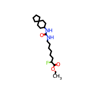 CCOC(=O)C(F)CCCCCCNC(=O)NC1CCC2(CCCC2)CC1